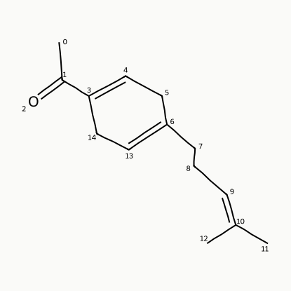 CC(=O)C1=CCC(CCC=C(C)C)=CC1